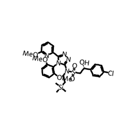 COc1cccc(-c2nnc(N(CC[Si](C)(C)C)S(=O)(=O)C[C@H](O)c3ccc(Cl)cc3)n2-c2c(OC)cccc2OC)n1